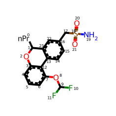 CCCC1Oc2cccc(OC(F)F)c2-c2ccc(CS(N)(=O)=O)cc21